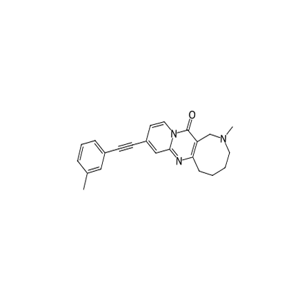 Cc1cccc(C#Cc2ccn3c(=O)c4c(nc3c2)CCCCN(C)C4)c1